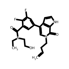 C=CCCn1cc(-c2cc(F)c(F)c(C(=O)N(CC)CCO)c2)c2cc[nH]c2c1=O